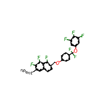 CCCCCc1cc2ccc(COc3ccc(C(F)(F)Oc4cc(F)c(F)c(F)c4)cc3)c(F)c2c(F)c1F